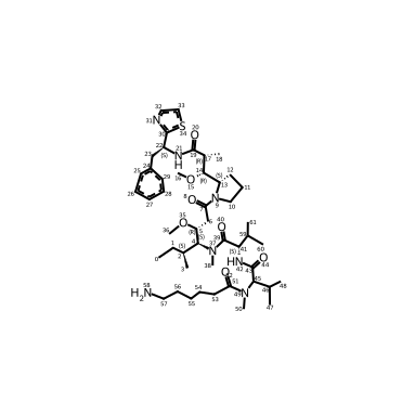 CC[C@H](C)[C@@H]([C@@H](CC(=O)N1CCC[C@H]1[C@H](OC)[C@@H](C)C(=O)N[C@@H](Cc1ccccc1)c1nccs1)OC)N(C)C(=O)[C@@H](NC(=O)C(C(C)C)N(C)C(=O)CCCCCN)C(C)C